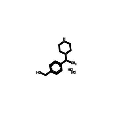 CC(c1ccc(CO)cc1)N1CCNCC1.Cl.Cl